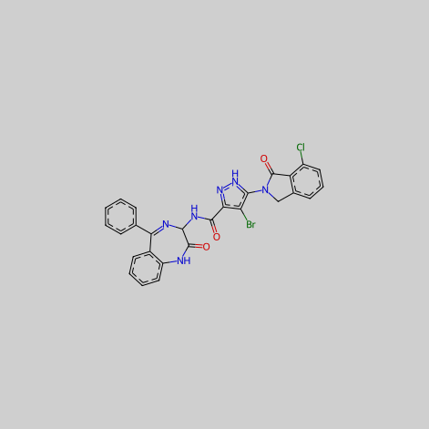 O=C(NC1N=C(c2ccccc2)c2ccccc2NC1=O)c1n[nH]c(N2Cc3cccc(Cl)c3C2=O)c1Br